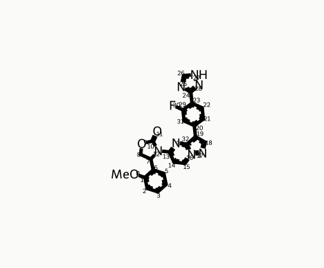 COc1ccccc1C1COC(=O)N1c1ccn2ncc(-c3ccc(-c4nc[nH]n4)c(F)c3)c2n1